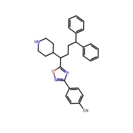 N#Cc1ccc(-c2noc(C(CCC(c3ccccc3)c3ccccc3)C3CCNCC3)n2)cc1